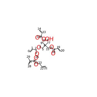 C=CC(=O)OCC(CO)(COC(=O)C=C)COC(=O)C=C.C=CCOC(=O)C(=C)C